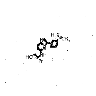 CC(C)[C@@H](CO)Nc1ccc2ncc(-c3cccc(N(C)C)c3)n2n1